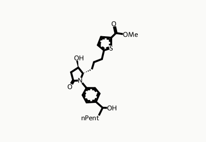 CCCCCC(O)c1ccc(N2C(=O)C[C@@H](O)[C@@H]2CCCc2ccc(C(=O)OC)s2)cc1